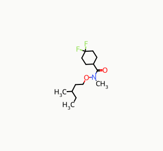 CCC(C)CCON(C)C(=O)C1CCC(F)(F)CC1